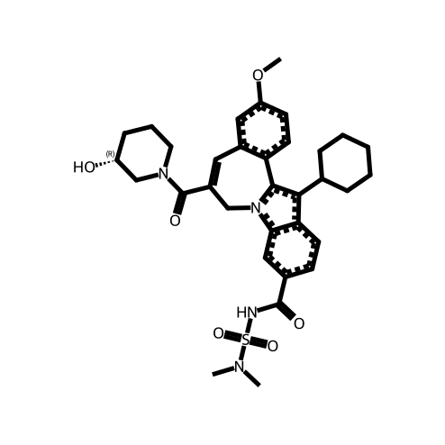 COc1ccc2c(c1)C=C(C(=O)N1CCC[C@@H](O)C1)Cn1c-2c(C2CCCCC2)c2ccc(C(=O)NS(=O)(=O)N(C)C)cc21